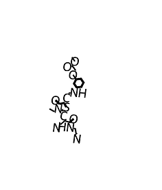 CCn1c(=C=C(C#N)C(=O)NCC#N)sc(=C=CNc2cccc(OCC(=O)OC)c2)c1=O